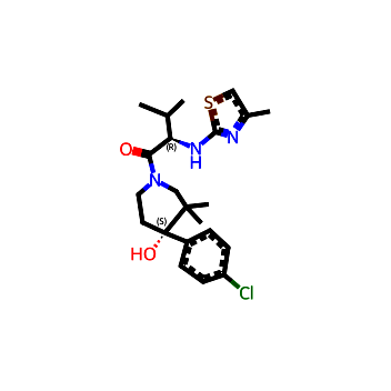 Cc1csc(N[C@@H](C(=O)N2CC[C@](O)(c3ccc(Cl)cc3)C(C)(C)C2)C(C)C)n1